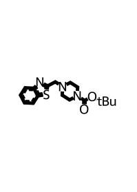 CC(C)(C)OC(=O)N1CCN(Cc2nc3ccccc3s2)CC1